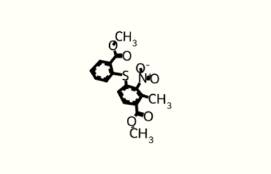 COC(=O)c1ccccc1Sc1ccc(C(=O)OC)c(C)c1[N+](=O)[O-]